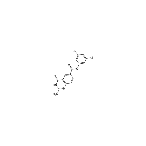 Nc1nc2ccc(C(=O)Oc3cc(Cl)cc(Cl)c3)cc2c(=O)[nH]1